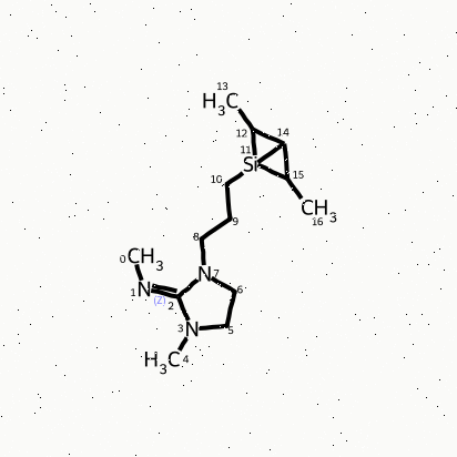 C/N=C1/N(C)CCN1CCC[Si]12C(C)C1C2C